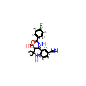 CC1(C)Nc2ccc(C#N)cc2C(NC(=O)c2ccc(F)cc2)C1O